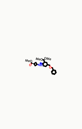 COC(=O)[C@H]1C[C@@H](N/N=C2\CCC(COCc3ccccc3)CC2C(OC)OC)C1